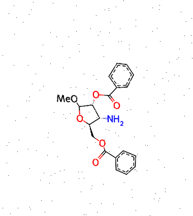 COC1O[C@H](COC(=O)c2ccccc2)[C@@H](N)[C@H]1OC(=O)c1ccccc1